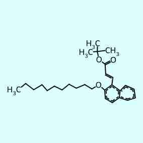 CCCCCCCCCCCOc1ccc2ccccc2c1C=CC(=O)OC(C)(C)C